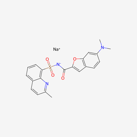 Cc1ccc2cccc(S(=O)(=O)[N-]C(=O)c3cc4ccc(N(C)C)cc4o3)c2n1.[Na+]